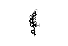 Cc1ccc(S(=O)(=O)c2ccc(Cl)cc2)cc1S(=O)(=O)NCCc1cccc(F)c1